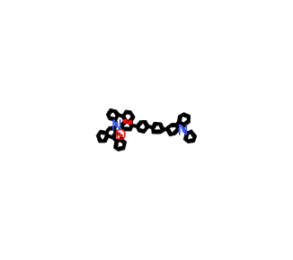 c1ccc(-c2ccccc2N(c2ccc(-c3ccc(-c4ccc(-c5ccc6c(c5)c5ccccc5n6-c5ccccc5)cc4)cc3)cc2)c2cc3ccccc3c3c2oc2ccccc23)cc1